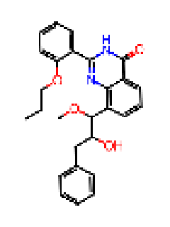 CCCOc1ccccc1-c1nc2c(C(OC)C(O)Cc3ccccc3)cccc2c(=O)[nH]1